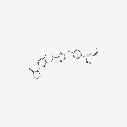 C=N/C(=N\C=C/C)c1ccc(Cc2cnc(N3CCc4ccc(N5CCCC5=O)cc4C3)s2)cc1